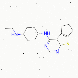 CCN[C@H]1CC[C@H](NC2=NC=NC3SC4=C(CCC4)C23)CC1